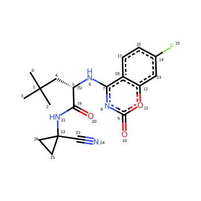 CC(C)(C)C[C@H](Nc1nc(=O)oc2cc(F)ccc12)C(=O)NC1(C#N)CC1